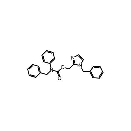 O=C(OCc1nccn1Cc1ccccc1)N(Cc1ccccc1)c1ccccc1